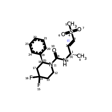 C[C@@H](/C=C/S(C)(=O)=O)NC(=O)N1CCC(F)(F)C[C@H]1c1ccccc1